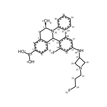 C[C@@H]1Cc2cc(B(O)O)ccc2C(c2c(F)cc(NC3CN(CCCF)C3)cc2F)N1c1ccccc1